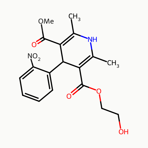 COC(=O)C1=C(C)NC(C)=C(C(=O)OCCO)C1c1ccccc1[N+](=O)[O-]